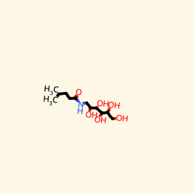 CC(C)CCC(=O)NCC(O)C(O)C(O)C(O)CO